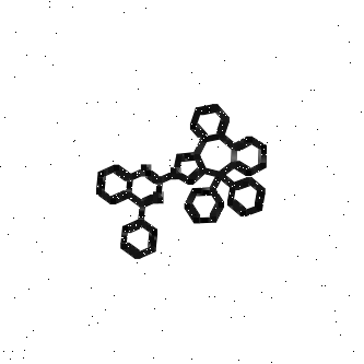 c1ccc(-c2nc(-n3cc4c(c3)C(c3ccccc3)(c3ccccc3)c3ccccc3-c3ccccc3-4)nc3ccccc23)cc1